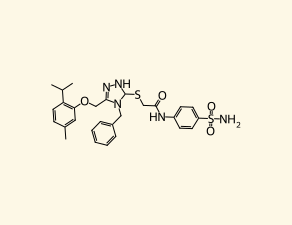 Cc1ccc(C(C)C)c(OCC2=NNC(SCC(=O)Nc3ccc(S(N)(=O)=O)cc3)N2Cc2ccccc2)c1